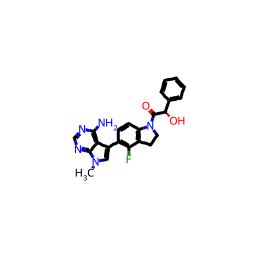 Cn1cc(-c2ccc3c(c2F)CCN3C(=O)[C@H](O)c2ccccc2)c2c(N)ncnc21